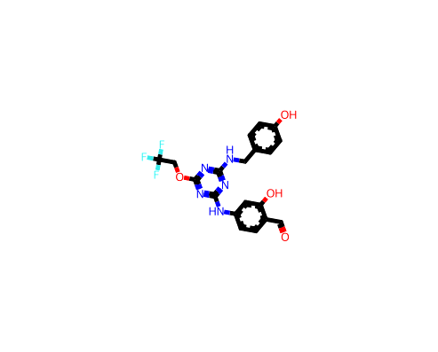 O=Cc1ccc(Nc2nc(NCc3ccc(O)cc3)nc(OCC(F)(F)F)n2)cc1O